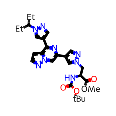 CCC(CC)n1cc(-c2nc(-c3cnn(CC(NC(=O)OC(C)(C)C)C(=O)OC)c3)cn3nccc23)cn1